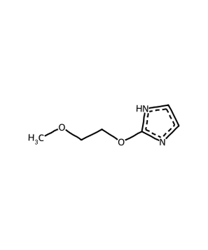 COCCOc1ncc[nH]1